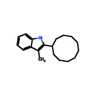 CC1=C(C2CCCCCCCCC2)[N]c2ccccc21